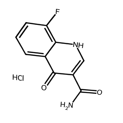 Cl.NC(=O)c1c[nH]c2c(F)cccc2c1=O